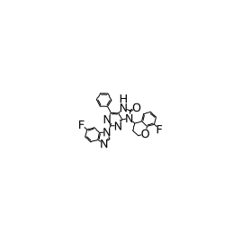 O=c1[nH]c2c(-c3ccccc3)nc(-n3cnc4ccc(F)cc43)nc2n1[C@@H]1CCOc2c(F)cccc21